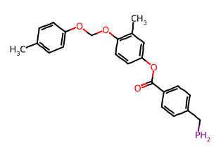 Cc1ccc(OCOc2ccc(OC(=O)c3ccc(CP)cc3)cc2C)cc1